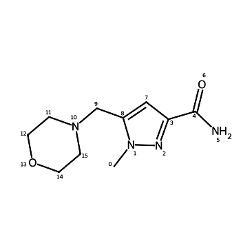 Cn1nc(C(N)=O)cc1CN1CCOCC1